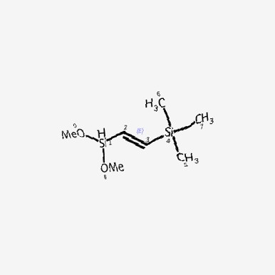 CO[SiH](/C=C/[Si](C)(C)C)OC